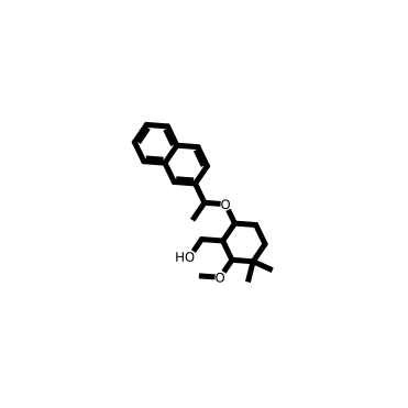 COC1C(CO)C(OC(C)c2ccc3ccccc3c2)CCC1(C)C